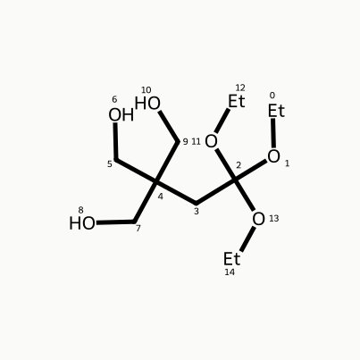 CCOC(CC(CO)(CO)CO)(OCC)OCC